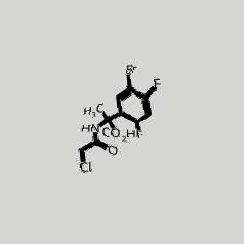 CC(NC(=O)CCl)(C(=O)O)c1cc(Br)c(F)cc1F